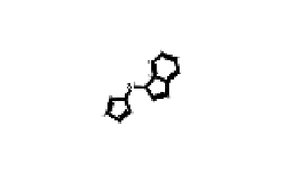 C1=C[CH]([Zr][CH]2C=Cc3ccccc32)C=C1